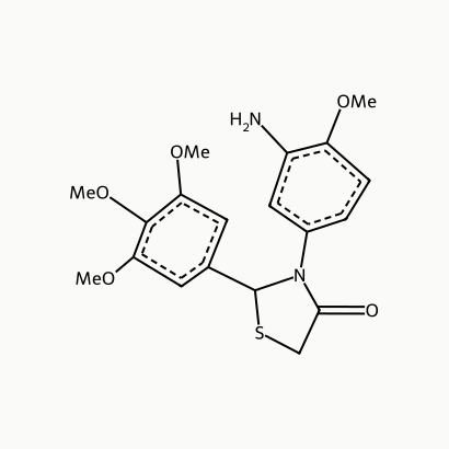 COc1ccc(N2C(=O)CSC2c2cc(OC)c(OC)c(OC)c2)cc1N